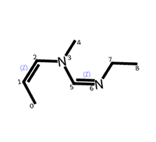 C/C=C\N(C)/C=N\CC